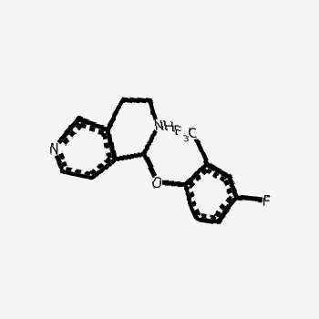 Fc1ccc(OC2NCCc3cnccc32)c(C(F)(F)F)c1